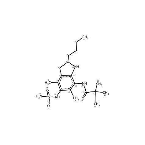 CCCCC1Cc2c(C)c(NS(N)(=O)=O)c(C)c(NC(=O)C(C)(C)C)c2N1